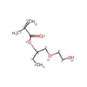 C=C(C)C(=O)OC(CC)COCCO